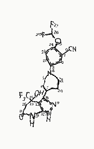 N#Cc1cc(N2CCC(c3n[nH]c4c3C(O)(C(F)(F)F)CC(=O)N4)CC2)ccc1OC(F)F